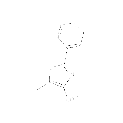 CCOC(=O)c1nc(-c2ccccn2)oc1C